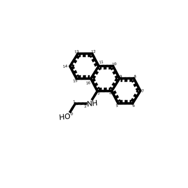 OCNc1c2ccccc2cc2ccccc12